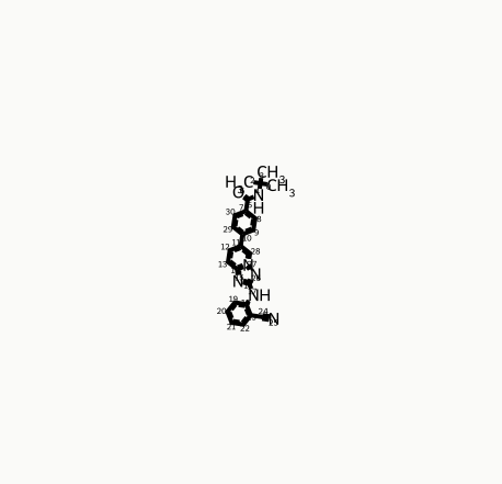 CC(C)(C)NC(=O)c1ccc(-c2ccc3nc(Nc4ccccc4C#N)nn3c2)cc1